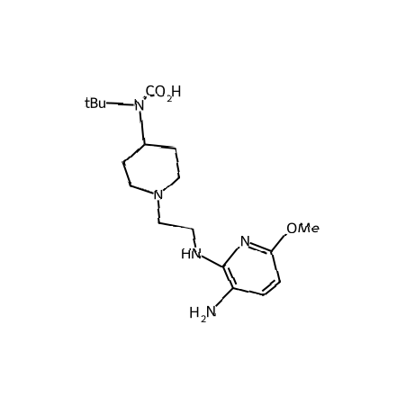 COc1ccc(N)c(NCCN2CCC(N(C(=O)O)C(C)(C)C)CC2)n1